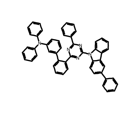 c1ccc(-c2ccc3c(c2)c2ccccc2n3-c2nc(-c3ccccc3)nc(-c3ccccc3-c3cccc(N(c4ccccc4)c4ccccc4)c3)n2)cc1